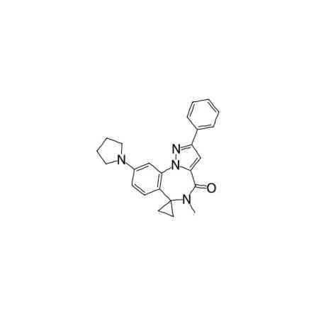 CN1C(=O)c2cc(-c3ccccc3)nn2-c2cc(N3CCCC3)ccc2C12CC2